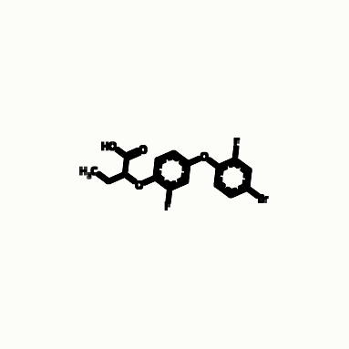 CCC(Oc1ccc(Oc2ccc(Br)cc2F)cc1F)C(=O)O